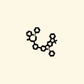 C=C1/C=C(c2cccc(-c3ccc4c(c3)c3cc5c(cc3n4-c3ccccc3)C(C)(C)c3ccccc3-5)c2)\C=C/N(c2ccccc2)c2ccccc21